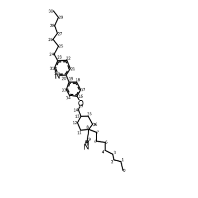 CCCCCCCCC1(C#N)CCC(COc2ccc(-c3ccc(CCCCCCC)cn3)cc2)CC1